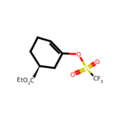 CCOC(=O)[C@H]1CCC=C(OS(=O)(=O)C(F)(F)F)C1